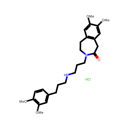 COc1ccc(CCCNCCCN2CCc3cc(OC)c(OC)cc3CC2=O)cc1OC.Cl